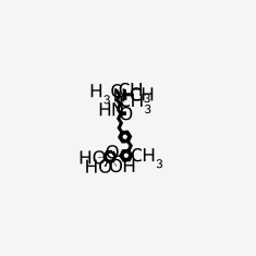 C#CC(C)(C)N(C)CCNC(=O)CCCc1ccc(Cc2cc([C@@H]3OC[C@@H](O)[C@H](O)[C@H]3O)ccc2C)cc1